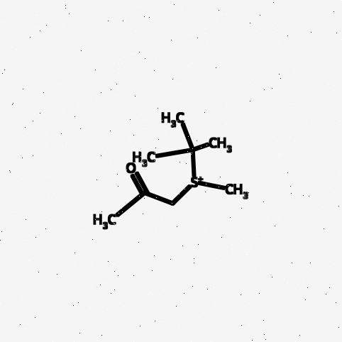 CC(=O)C[S+](C)C(C)(C)C